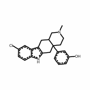 CN1CCC2(c3cccc(O)c3)Cc3[nH]c4ccc(Cl)cc4c3CC2C1